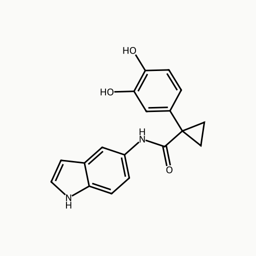 O=C(Nc1ccc2[nH]ccc2c1)C1(c2ccc(O)c(O)c2)CC1